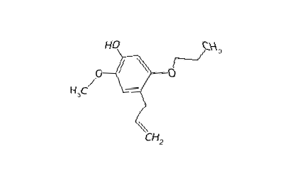 C=CCc1cc(OC)c(O)cc1OCCC